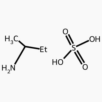 CCC(C)N.O=S(=O)(O)O